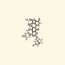 C[C@@H](O)CN1c2nc(OC[C@@]34CCCN3C[C@H](F)C4)nc3c(F)c(-c4ccc(F)c5sc(N)c(C#N)c45)c(Cl)c(c23)OC[C@@H]1C